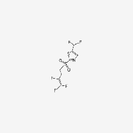 O=S(=O)(CCC(F)=C(F)F)c1ncc(C(F)F)s1